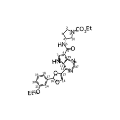 CCOC(=O)N1CC[C@@H](NC(=O)c2c[nH]c3c(C4=COC(c5cccc(OCC)c5)O4)ncnc23)C1